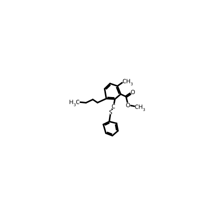 CCCCc1ccc(C)c(C(=O)OC)c1CSc1ccccc1